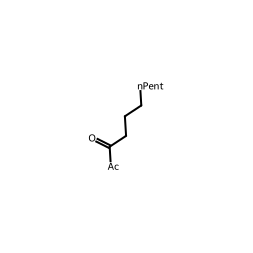 CCCCCCCCC(=O)C(C)=O